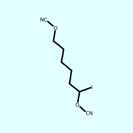 N#COCCCCCC(I)OC#N